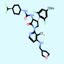 COc1cc(F)c([C@@H]2CN(c3nccc(NCC4CCOC4)c3C(F)(F)F)C(=O)[C@H]2NC(=O)N[C@H]2CC[C@H](C(F)F)CC2)c(F)c1